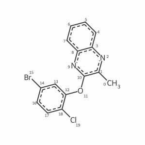 Cc1nc2ccccc2nc1Oc1cc(Br)ccc1Cl